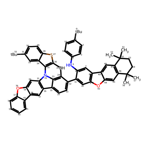 CC(C)(C)c1ccc(Nc2cc3c(cc2-c2ccc4c5cc6c(cc5n5c4c2Bc2sc4ccc(C(C)(C)C)cc4c2-5)oc2ccccc26)oc2cc4c(cc23)C(C)(C)CCC4(C)C)cc1